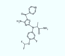 CC(C(N)=O)N(c1ccc(OC(F)F)c(F)c1)c1nc(N)c(C(=O)c2ccncc2)s1